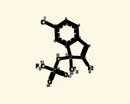 CCC1=Cc2ccc(Cl)cc2S1(OS(=O)(=O)C(F)(F)F)C(F)(F)F